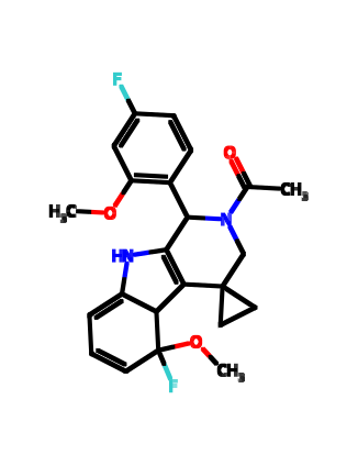 COc1cc(F)ccc1C1C2=C(C3C(=CC=CC3(F)OC)N2)C2(CC2)CN1C(C)=O